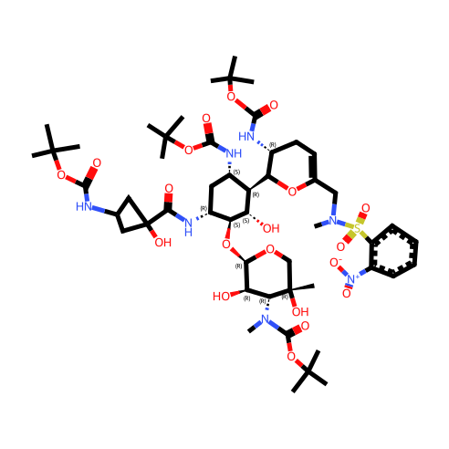 CN(C(=O)OC(C)(C)C)[C@@H]1[C@@H](O)[C@@H](O[C@@H]2[C@@H](O)[C@H](C3OC(CN(C)S(=O)(=O)c4ccccc4[N+](=O)[O-])=CC[C@H]3NC(=O)OC(C)(C)C)[C@@H](NC(=O)OC(C)(C)C)C[C@H]2NC(=O)C2(O)CC(NC(=O)OC(C)(C)C)C2)OC[C@]1(C)O